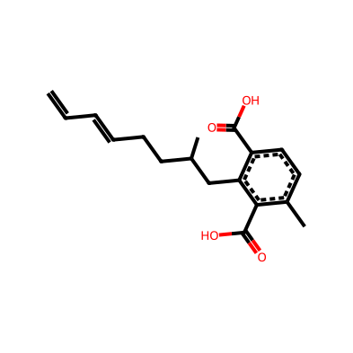 C=CC=CCCC(C)Cc1c(C(=O)O)ccc(C)c1C(=O)O